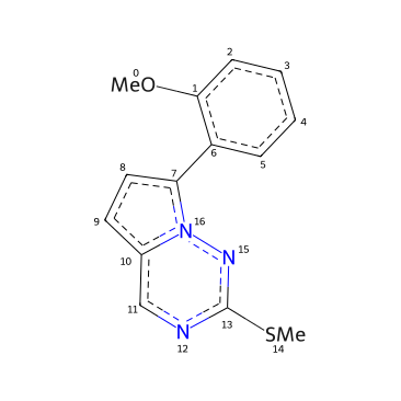 COc1ccccc1-c1ccc2cnc(SC)nn12